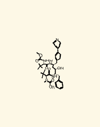 COC(=O)N[C@H](C(=O)N[C@@H](Cc1ccc(-c2ccncc2)cc1)C[C@H](O)[C@H](Cc1ccccc1)NC(=O)[C@@H](N(C)C(=O)O)C(C)(C)C)C(C)(C)C